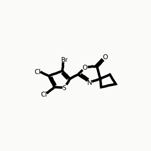 O=C1OC(c2sc(Cl)c(Cl)c2Br)=NC12CCC2